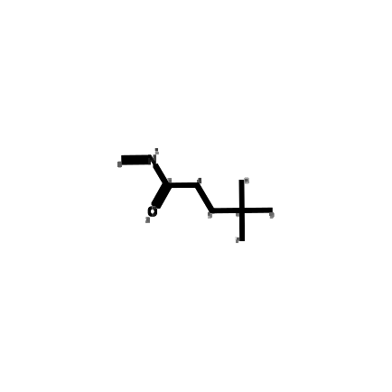 C=NC(=O)CCC(C)(C)C